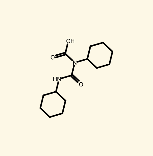 O=C(O)N(C(=O)NC1CCCCC1)C1CCCCC1